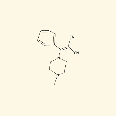 CN1CCN(C(=C(C#N)C#N)c2ccccc2)CC1